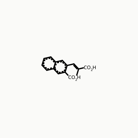 CC(=Cc1cc2ccccc2cc1C(=O)O)C(=O)O